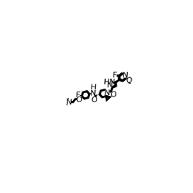 COc1cc(-c2cc(C(=O)N3CC[C@@H](C(=O)N[C@H]4CC[C@](F)(OCCN(C)C)CC4)CC34CC4)n[nH]2)c(F)cn1